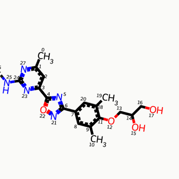 Cc1cc(-c2nc(-c3cc(C)c(OCC(O)CO)c(C)c3)no2)nc(NC(C)C)n1